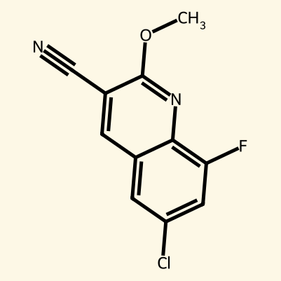 COc1nc2c(F)cc(Cl)cc2cc1C#N